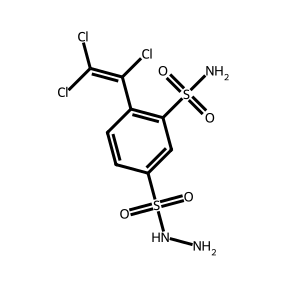 NNS(=O)(=O)c1ccc(C(Cl)=C(Cl)Cl)c(S(N)(=O)=O)c1